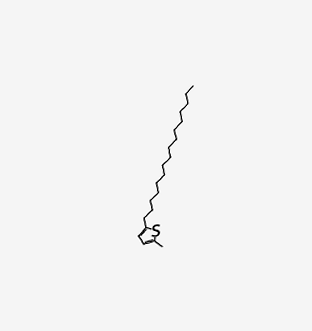 CCCCCCCCCCCCCCCCc1ccc(C)s1